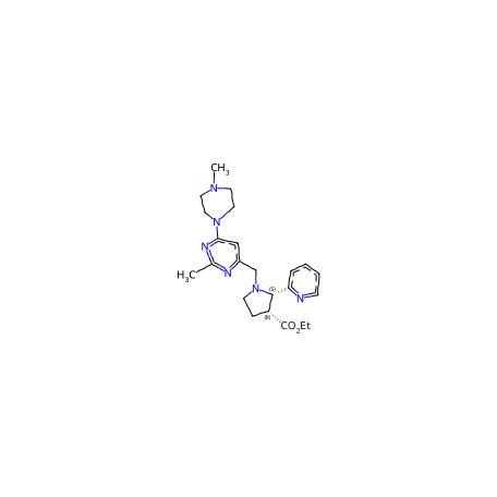 CCOC(=O)[C@@H]1CCN(Cc2cc(N3CCN(C)CC3)nc(C)n2)[C@@H]1c1ccccn1